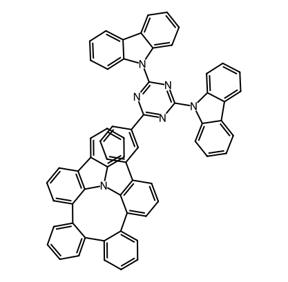 c1cc(-c2nc(-n3c4ccccc4c4ccccc43)nc(-n3c4ccccc4c4ccccc43)n2)cc(-c2cccc3c4ccccc4c4ccccc4c4cccc5c6ccccc6n(c23)c45)c1